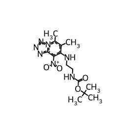 Cc1c(NCCNC(=O)OC(C)(C)C)c([N+](=O)[O-])c2nnnn2c1C